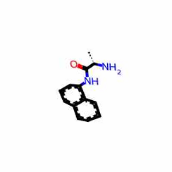 C[C@H](N)C(=O)Nc1cccc2ccccc12